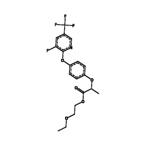 CCOCCOC(=O)C(C)Oc1ccc(Oc2ncc(C(F)(F)F)cc2F)cc1